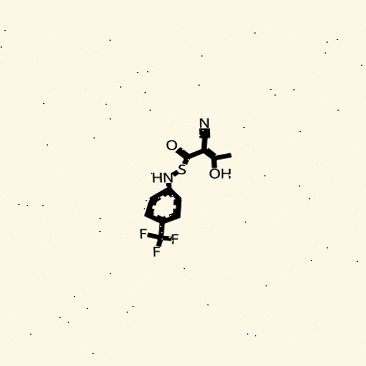 CC(O)=C(C#N)C(=O)SNc1ccc(C(F)(F)F)cc1